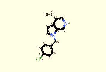 O=Cc1cncc2c1ccn2Cc1ccc(Cl)cc1